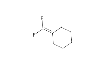 FC(F)=C1[CH]CCCC1